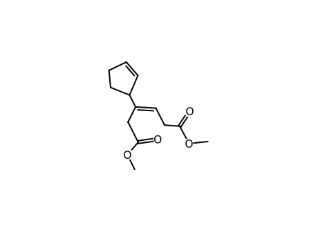 COC(=O)CC=C(CC(=O)OC)C1C=CCC1